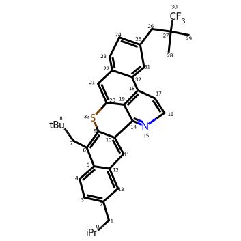 CC(C)Cc1ccc2c(CC(C)(C)C)c3c(cc2c1)-c1nccc2c1c(cc1ccc(CC(C)(C)C(F)(F)F)cc12)S3